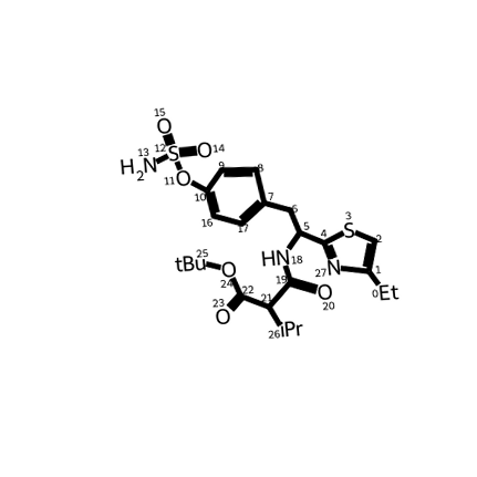 CCc1csc(C(Cc2ccc(OS(N)(=O)=O)cc2)NC(=O)C(C(=O)OC(C)(C)C)C(C)C)n1